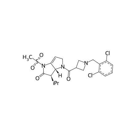 CC(C)[C@H]1C(=O)N(S(C)(=O)=O)C2=CCN(C(=O)C3CN(Cc4c(Cl)cccc4Cl)C3)[C@@H]21